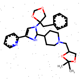 CC1(C)OCC(CN2CCC(C3NC(c4ccccn4)=CN3C3(Cc4ccccc4)COCO3)CC2)O1